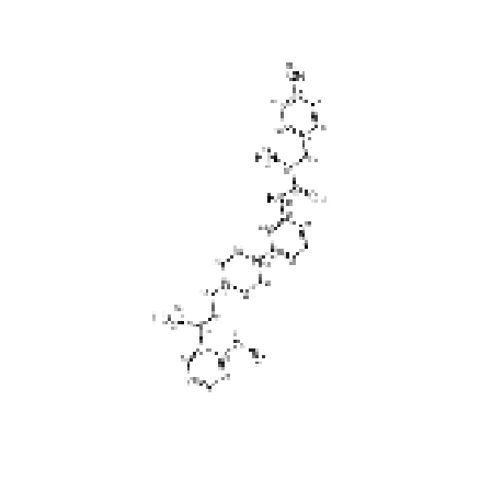 CCOc1ccccc1N(CCN1CCN(c2cccc(NC(=O)C(N)Cc3ccc(O)cc3)c2)CC1)C(=O)O